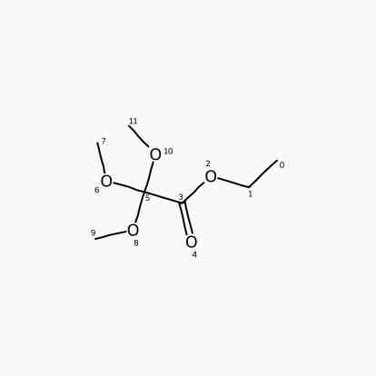 CCOC(=O)C(OC)(OC)OC